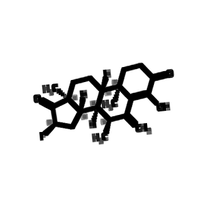 C=C1C2=C(O)C(=O)CC[C@]2(C)[C@H]2CC[C@]3(C)C(=O)[C@H](F)C[C@H]3[C@@H]2[C@@H]1C